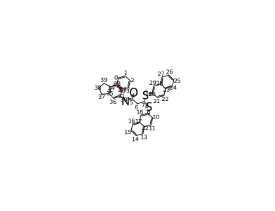 c1ccc(O/C(CC(Sc2ccc3ccccc3c2)Sc2ccc3ccccc3c2)=N\c2ccc3c(c2)CCC3)cc1